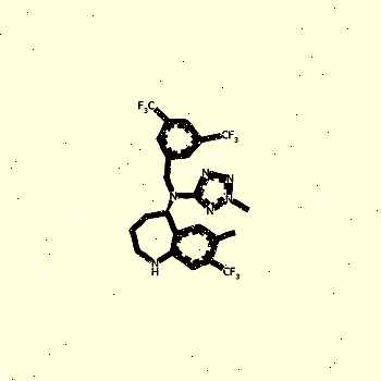 Cc1cc2c(cc1C(F)(F)F)NCCC[C@H]2N(Cc1cc(C(F)(F)F)cc(C(F)(F)F)c1)c1nnn(C)n1